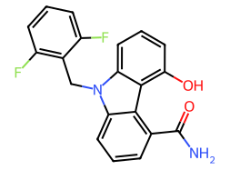 NC(=O)c1cccc2c1c1c(O)cccc1n2Cc1c(F)cccc1F